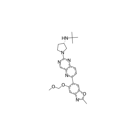 COCOc1cc2nc(C)oc2cc1-c1ccc2nc(N3CC[C@H](NC(C)(C)C)C3)ncc2n1